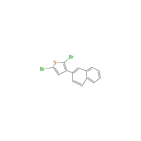 Brc1cc(-c2ccc3ccccc3c2)c(Br)s1